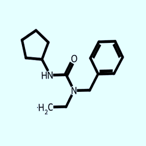 [CH2]CN(Cc1ccccc1)C(=O)NC1CCCC1